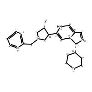 C[C@H]1CN(Cc2ncccn2)CC1C1=CN2C(=CN1)C=N[C@@H]2C1CCOCC1